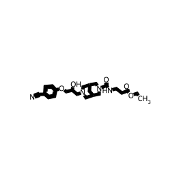 CCOC(=O)CCNC(=O)N1CC2CC(CN(CC(O)COc3ccc(C#N)cc3)C2)C1